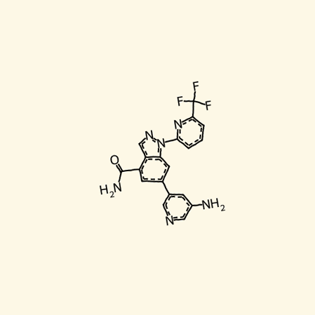 NC(=O)c1cc(-c2cncc(N)c2)cc2c1cnn2-c1cccc(C(F)(F)F)n1